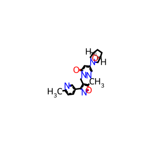 Cc1ccc(-c2noc(C)c2Cn2ncc(N3C[C@H]4CC[C@@H](C3)O4)cc2=O)cn1